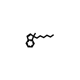 CCCCCCC1(C)C=Cc2ccccc21